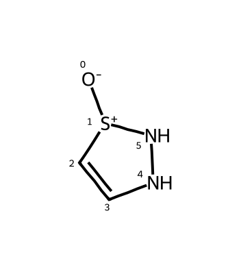 [O-][S+]1C=CNN1